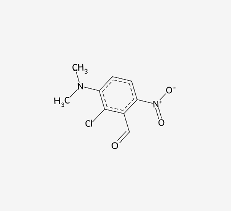 CN(C)c1ccc([N+](=O)[O-])c(C=O)c1Cl